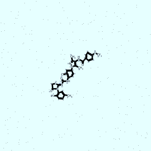 Cc1ccc(C(C)C)c(N2C(=O)CS/C2=N\C(=O)Nc2ccc(-n3nc(C)c(NC(=O)c4ccc(OC(F)(F)F)cc4)c3C)cc2Cl)c1